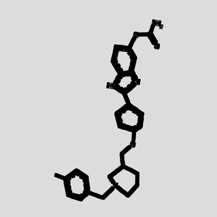 Cc1ccc(CN2CCCC(COc3ccc(-c4nc5cc(OC(N)=O)ccc5[nH]4)cc3)C2)cc1